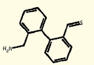 NCc1ccccc1-c1ccccc1C=S